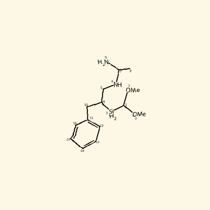 COC(OC)[SiH2]C(CNC(C)N)Cc1ccccc1